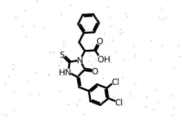 O=C(O)C(Cc1ccccc1)N1C(=O)/C(=C\c2ccc(Cl)c(Cl)c2)NC1=S